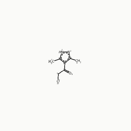 Cc1n[nH]c(C)c1C(=O)CCl